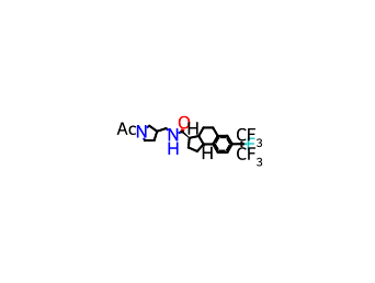 CC(=O)N1CCC(CNC(=O)[C@@H]2CC[C@H]3c4ccc(C(F)(C(F)(F)F)C(F)(F)F)cc4CC[C@@H]23)C1